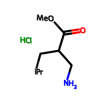 COC(=O)C(CN)CC(C)C.Cl